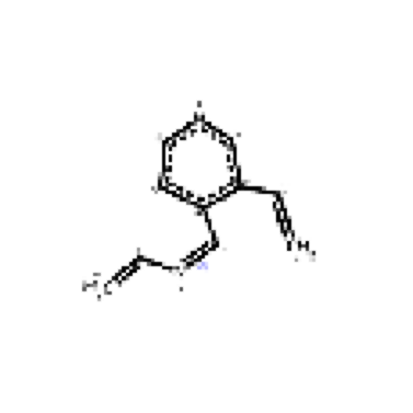 C=C/N=C\c1ccncc1C=C